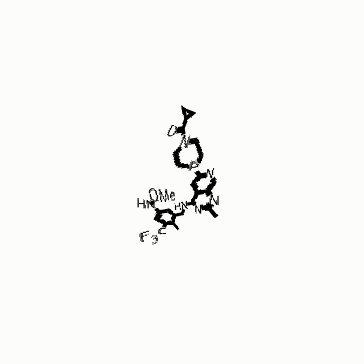 CONc1cc(CNc2nc(C)nc3cnc(P4CCN(C(=O)C5CC5)CC4)cc23)c(C)c(C(F)(F)F)c1